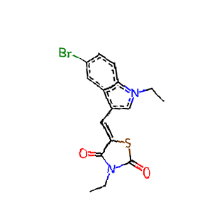 CCN1C(=O)SC(=Cc2cn(CC)c3ccc(Br)cc23)C1=O